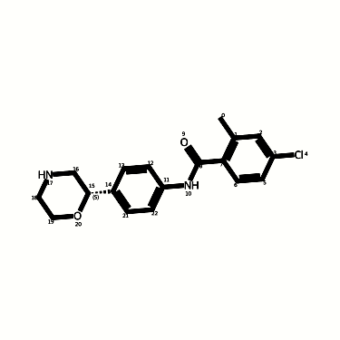 Cc1cc(Cl)ccc1C(=O)Nc1ccc([C@H]2CNCCO2)cc1